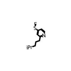 CC(C)CCCc1cc(SF)ccn1